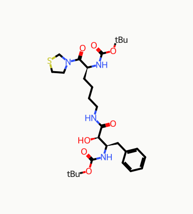 CC(C)(C)OC(=O)N[C@@H](CCCCNC(=O)[C@H](O)[C@@H](Cc1ccccc1)NC(=O)OC(C)(C)C)C(=O)N1CCSC1